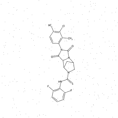 Cc1c(N2C(=O)C3C4CC(CN4C(=S)Nc4c(F)cccc4F)N3C2=O)ccc(C#N)c1Cl